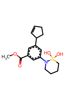 COC(=O)c1cc(C2C=CCC2)cc(N2CCCCS2(O)O)c1